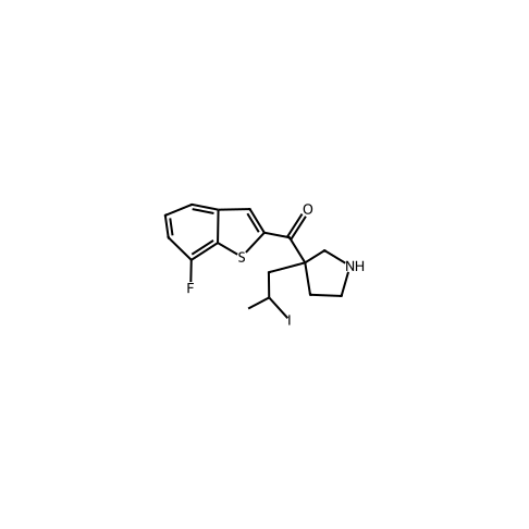 CC(I)CC1(C(=O)c2cc3cccc(F)c3s2)CCNC1